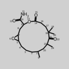 CC1CCCC2OC2CC(C(N)=O)OC(=O)CCC(C)(C)C(=O)C(C)C1